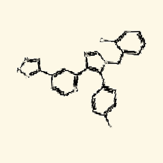 Fc1ccc(-c2c(-c3cc(C4=N[N]N=N4)ccn3)ncn2Cc2ccccc2Cl)cc1